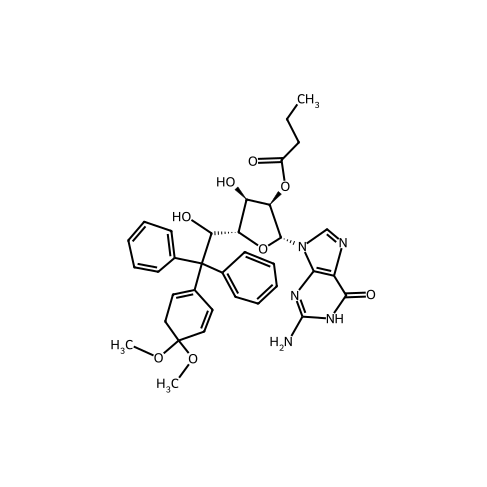 CCCC(=O)O[C@@H]1[C@H](O)[C@@H](C(O)C(C2=CCC(OC)(OC)C=C2)(c2ccccc2)c2ccccc2)O[C@H]1n1cnc2c(=O)[nH]c(N)nc21